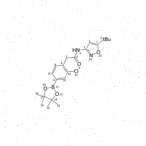 CC(C)(C)c1cc(NC(=O)Cc2ccc(B3OC(C)(C)C(C)(C)O3)cc2Cl)no1